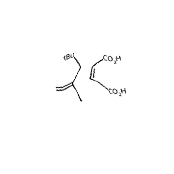 C=C(C)CC(C)(C)C.O=C(O)/C=C\C(=O)O